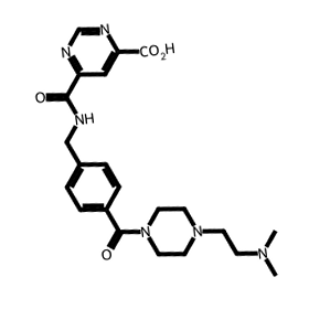 CN(C)CCN1CCN(C(=O)c2ccc(CNC(=O)c3cc(C(=O)O)ncn3)cc2)CC1